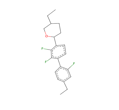 CCc1ccc(-c2ccc(C3CCC(CC)CO3)c(F)c2F)c(F)c1